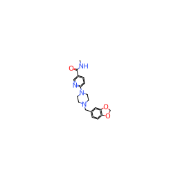 CNC(=O)c1ccc(N2CCN(Cc3ccc4c(c3)OCO4)CC2)nc1